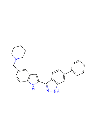 c1ccc(-c2ccc3c(-c4cc5cc(CN6CCCCC6)ccc5[nH]4)n[nH]c3c2)cc1